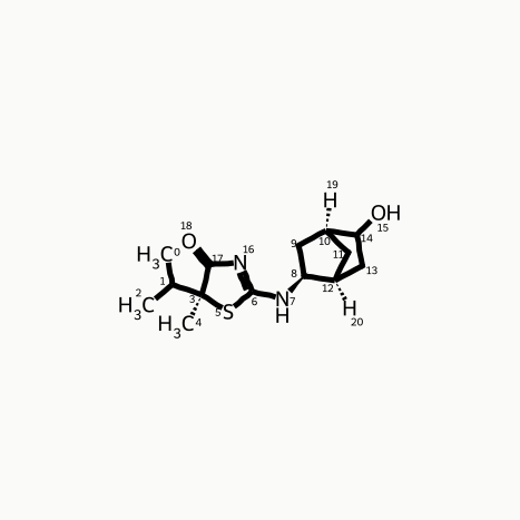 CC(C)[C@]1(C)SC(N[C@H]2C[C@@H]3C[C@H]2CC3O)=NC1=O